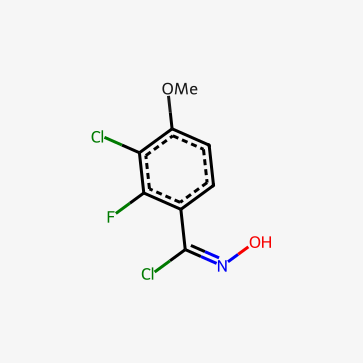 COc1ccc(/C(Cl)=N\O)c(F)c1Cl